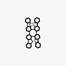 c1ccc2c(c1)Cc1c-2ccc2c1-c1c(ccc3c1sc1ccccc13)-c1ccc3c(sc4ccccc43)c1-c1c-2ccc2c1Cc1ccccc1-2